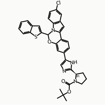 CC(C)(C)OC(=O)N1CCC[C@@H]1c1ncc(-c2ccc3c(c2)OC(c2cc4ccccc4s2)n2c-3cc3cc(Cl)ccc32)[nH]1